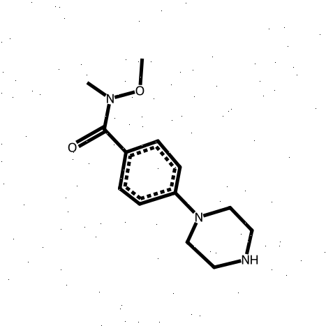 CON(C)C(=O)c1ccc(N2CCNCC2)cc1